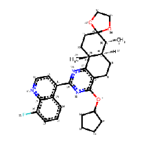 C[C@@H]1[C@H]2CCc3c(OC4CCCC4)nc(-c4ccnc5c(F)cccc45)nc3[C@]2(C)CCC12OCCO2